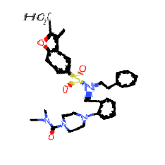 Cc1c(C(=O)O)oc2ccc(S(=O)(=O)N(CCc3ccccc3)Cc3ccccc3N3CCN(C(=O)N(C)C)CC3)cc12